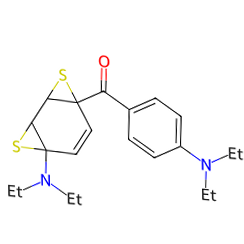 CCN(CC)c1ccc(C(=O)C23C=CC4(N(CC)CC)SC4C2S3)cc1